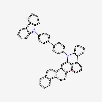 c1ccc(-c2ccccc2N(c2ccc(-c3ccc(-n4c5ccccc5c5ccccc54)cc3)cc2)c2ccc3ccc4c5ccccc5ccc4c3c2)cc1